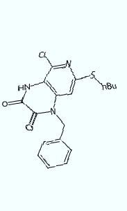 CCCCSc1cc2c([nH]c(=O)c(=O)n2Cc2ccccc2)c(Cl)n1